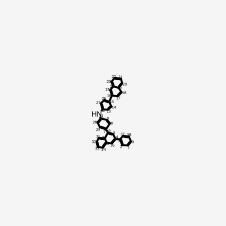 c1ccc(-c2cc(-c3ccc(Nc4ccc(-c5ccc6ccccc6c5)cc4)cc3)c3ccccc3c2)cc1